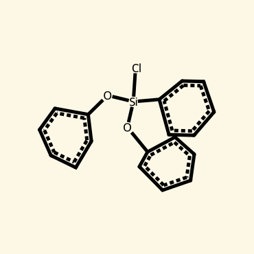 Cl[Si](Oc1ccccc1)(Oc1ccccc1)c1ccccc1